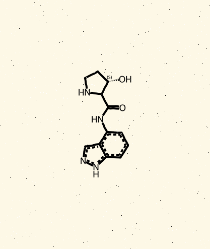 O=C(Nc1cccc2[nH]ncc12)C1NCC[C@@H]1O